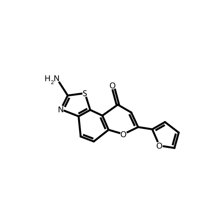 Nc1nc2ccc3oc(-c4ccco4)cc(=O)c3c2s1